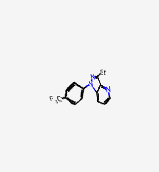 CCc1nn(-c2ccc(C(F)(F)F)cc2)c2cccnc12